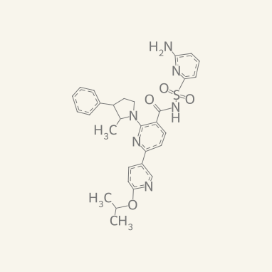 CC(C)Oc1ccc(-c2ccc(C(=O)NS(=O)(=O)c3cccc(N)n3)c(N3CCC(c4ccccc4)C3C)n2)cn1